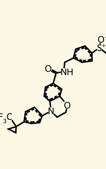 C[S+]([O-])c1ccc(CNC(=O)c2ccc3c(c2)OCCN3c2ccc(C3(C(F)(F)F)CC3)cc2)cc1